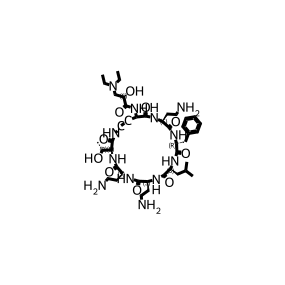 CCN(CC)C[C@H](O)C(=O)NC1CCNC(=O)[C@H]([C@@H](C)O)NC(=O)[C@H](CCN)NC(=O)[C@H](CCN)NC(=O)[C@H](CC(C)C)NC(=O)[C@@H](Cc2ccccc2)NC(=O)[C@H](CCN)NC1=O